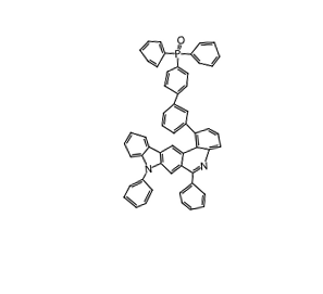 O=P(c1ccccc1)(c1ccccc1)c1ccc(-c2cccc(-c3cccc4nc(-c5ccccc5)c5cc6c(cc5c34)c3ccccc3n6-c3ccccc3)c2)cc1